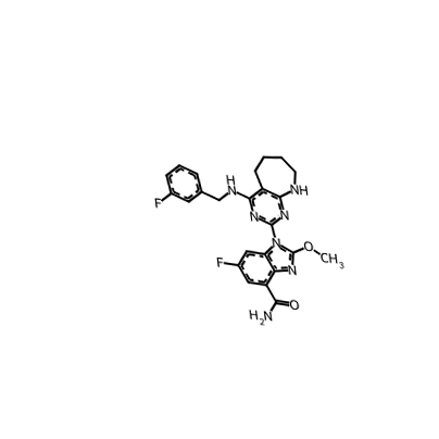 COc1nc2c(C(N)=O)cc(F)cc2n1-c1nc2c(c(NCc3cccc(F)c3)n1)CCCCN2